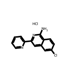 Cl.Nc1nc(-c2ccccn2)cc2cc(Cl)ccc12